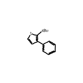 CC(C)(C)c1sccc1-c1ccccc1